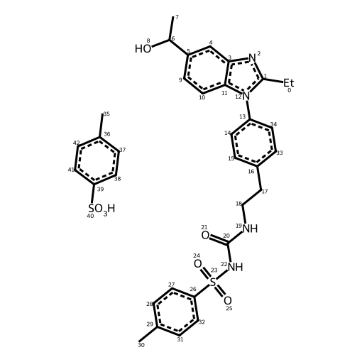 CCc1nc2cc(C(C)O)ccc2n1-c1ccc(CCNC(=O)NS(=O)(=O)c2ccc(C)cc2)cc1.Cc1ccc(S(=O)(=O)O)cc1